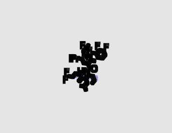 C=C(/C=C\CC(F)F)/C(C=C(C)C)=C(/C=C\C)NC(=O)C1=CC(C(C)C)N(CC(C)(F)F)N(Cc2cccc(F)c2F)C1=C